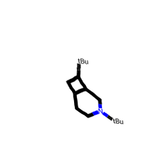 CC(C)(C)C1CC2CCN(C(C)(C)C)CC21